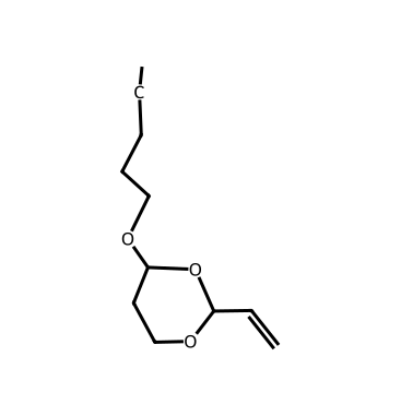 C=CC1OCCC(OCCCCC)O1